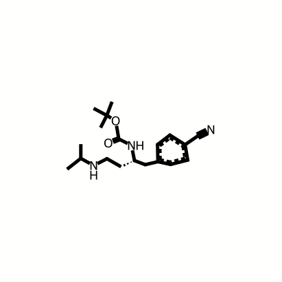 CC(C)NCC[C@@H](Cc1ccc(C#N)cc1)NC(=O)OC(C)(C)C